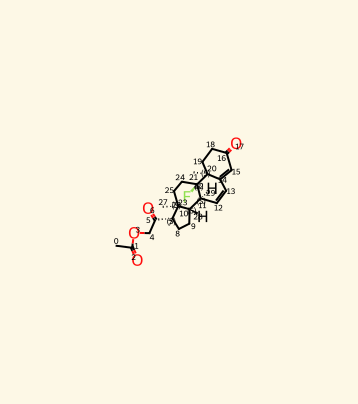 CC(=O)OCC(=O)[C@H]1CC[C@H]2[C@@H]3C=CC4=CC(=O)CC[C@]4(C)[C@@]3(F)CC[C@]12C